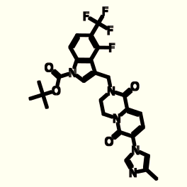 Cc1cn(-c2ccc3n(c2=O)CCN(Cc2cn(C(=O)OC(C)(C)C)c4ccc(C(F)(F)F)c(F)c24)C3=O)cn1